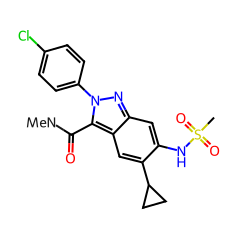 CNC(=O)c1c2cc(C3CC3)c(NS(C)(=O)=O)cc2nn1-c1ccc(Cl)cc1